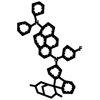 CC1CC2CC(C)C3(c4ccccc4-c4cc(N(c5ccc(F)cc5)c5ccc6ccc7c(N(c8ccccc8)c8ccccc8)ccc8ccc5c6c87)ccc43)C(C1)C2